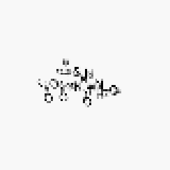 CC(=O)OC(=O)[C@@H]1N2C(=O)[C@@H](NC=O)[C@H]2SC1(C)C